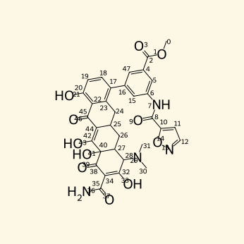 COC(=O)c1cc(NC(=O)c2ccno2)cc(-c2ccc(O)c3c2CC2CC4C(N(C)C)C(O)=C(C(N)=O)C(=O)C4(O)C(O)=C2C3=O)c1